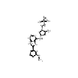 COc1cccc(-c2nc3c(N[C@@H]4C[C@@H](COS(N)(=O)=O)[C@@H](O)C4)ncnc3[nH]2)c1